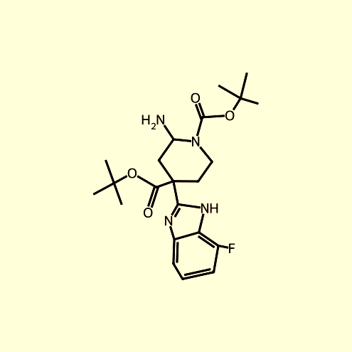 CC(C)(C)OC(=O)N1CCC(C(=O)OC(C)(C)C)(c2nc3cccc(F)c3[nH]2)CC1N